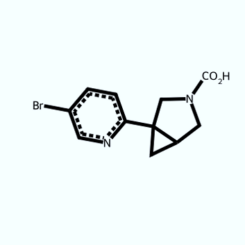 O=C(O)N1CC2CC2(c2ccc(Br)cn2)C1